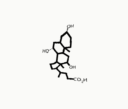 CC(CCC(=O)O)C1CCC2C3C(CC(O)C12C)C1(C)CC[C@@H](O)CC1C[C@H]3O